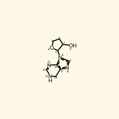 OC1CCOC1n1cnc2c1N=CNC2